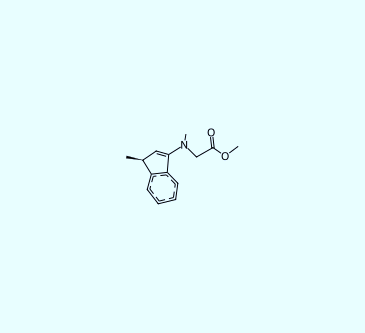 COC(=O)CN(C)C1=C[C@H](C)c2ccccc21